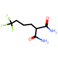 NC(=O)C(CCCC(F)(F)F)C(N)=O